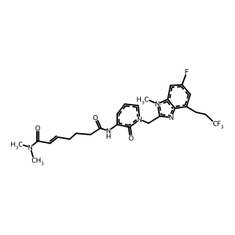 CN(C)C(=O)/C=C/CCCC(=O)Nc1cccn(Cc2nc3c(CCC(F)(F)F)cc(F)cc3n2C)c1=O